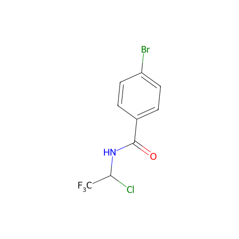 O=C(NC(Cl)C(F)(F)F)c1ccc(Br)cc1